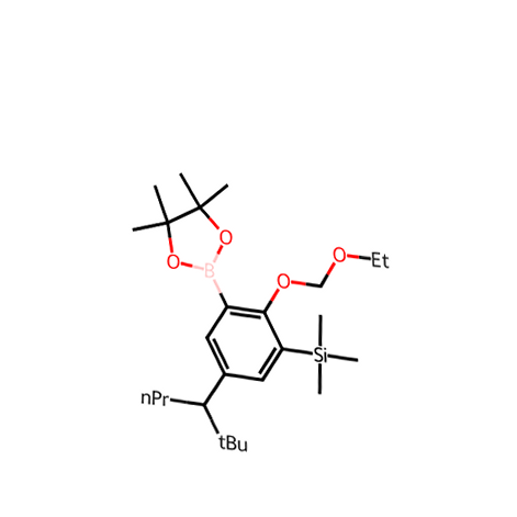 CCCC(c1cc(B2OC(C)(C)C(C)(C)O2)c(OCOCC)c([Si](C)(C)C)c1)C(C)(C)C